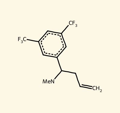 C=CCC(NC)c1cc(C(F)(F)F)cc(C(F)(F)F)c1